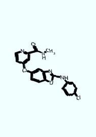 CNC(=O)c1cc(Oc2ccc3oc(Nc4ccc(Cl)cc4)nc3c2)ccn1